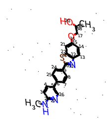 CNc1ccc(-c2ccc(-c3nc4ccc(OC[C@H](C)O)cc4s3)cc2)cn1